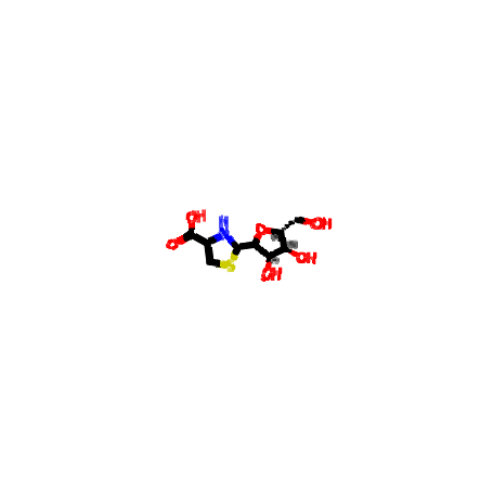 O=C(O)C1CSC(C2O[C@H](CO)[C@@H](O)[C@H]2O)N1